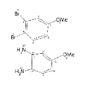 COc1ccc(Br)c(Br)c1.COc1ccc(N)c(N)c1